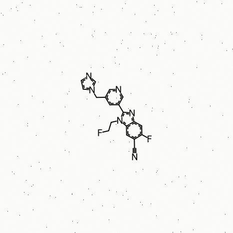 N#Cc1cc2c(cc1F)nc(-c1cncc(Cn3ccnc3)c1)n2CCF